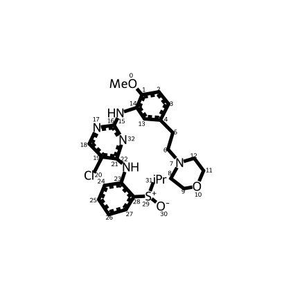 COc1ccc(CCN2CCOCC2)cc1Nc1ncc(Cl)c(Nc2ccccc2[S+]([O-])C(C)C)n1